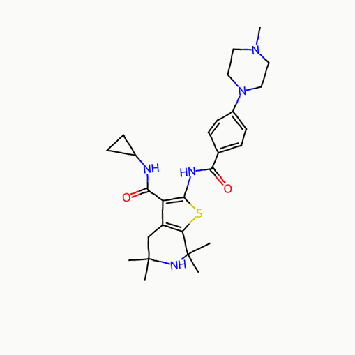 CN1CCN(c2ccc(C(=O)Nc3sc4c(c3C(=O)NC3CC3)CC(C)(C)NC4(C)C)cc2)CC1